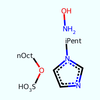 CCCC(C)n1ccnc1.CCCCCCCCOS(=O)(=O)O.NO